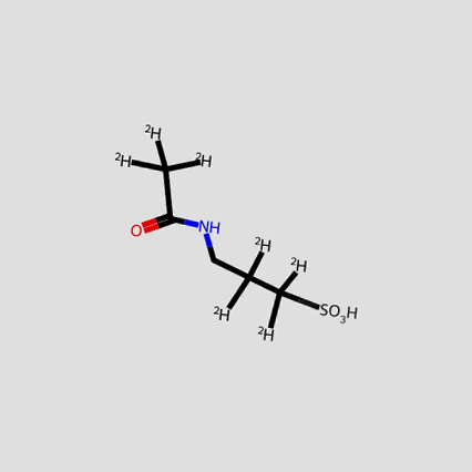 [2H]C([2H])([2H])C(=O)NCC([2H])([2H])C([2H])([2H])S(=O)(=O)O